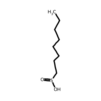 CCCCCCCCS(=O)O